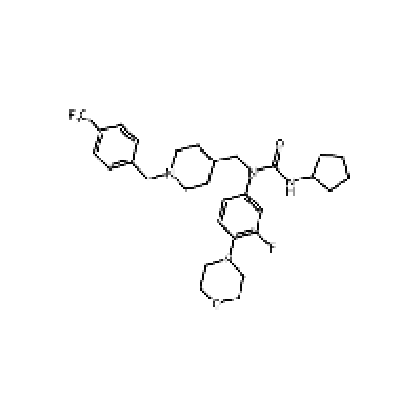 O=C(NC1CCCC1)N(CC1CCN(Cc2ccc(C(F)(F)F)cc2)CC1)c1ccc(N2CCOCC2)c(F)c1